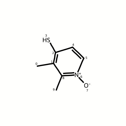 Cc1c(S)cc[n+]([O-])c1C